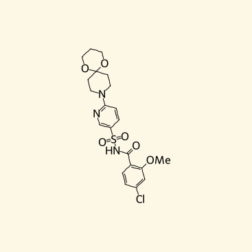 COc1cc(Cl)ccc1C(=O)NS(=O)(=O)c1ccc(N2CCC3(CC2)OCCCO3)nc1